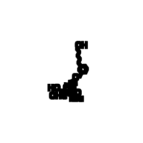 CCCC[C@H](NC=O)C(=O)N1C[C@H](OCc2cccc(CCCCCO)c2)C[C@H]1C(=O)O